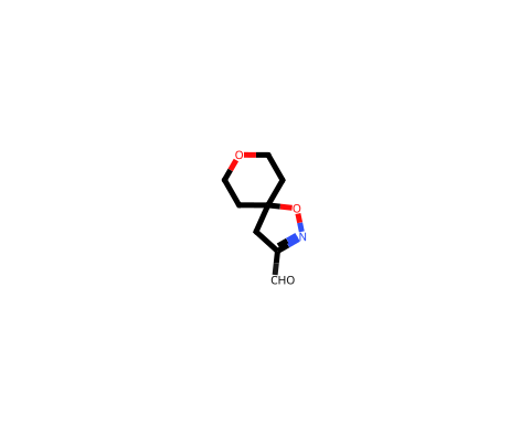 O=CC1=NOC2(CCOCC2)C1